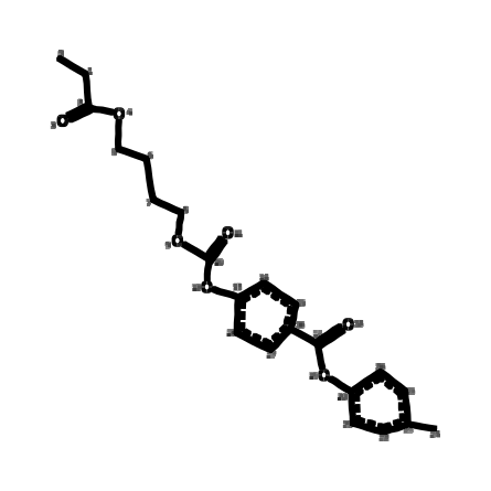 CCC(=O)OCCCCOC(=O)Oc1ccc(C(=O)Oc2ccc(C)cc2)cc1